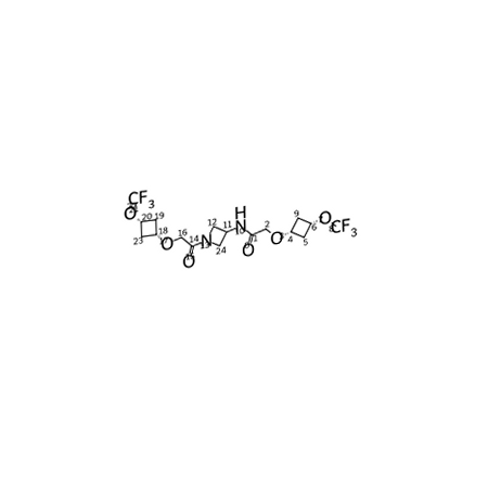 O=C(CO[C@H]1C[C@@H](OC(F)(F)F)C1)NC1CN(C(=O)CO[C@H]2C[C@@H](OC(F)(F)F)C2)C1